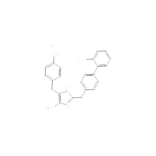 Cc1nc(Cc2ccc(-c3ccccc3C(F)(F)F)cc2)[nH]c1Cc1ccc(C#N)cc1.Cl